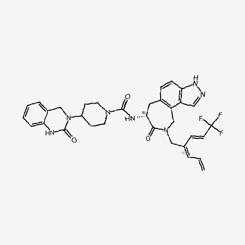 C=C/C=C(\C=CC(F)(F)F)CN1Cc2c(ccc3[nH]ncc23)C[C@@H](NC(=O)N2CCC(N3Cc4ccccc4NC3=O)CC2)C1=O